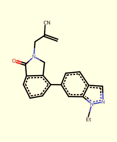 C=C(C#N)CN1Cc2c(cccc2-c2ccc3cnn(CC)c3c2)C1=O